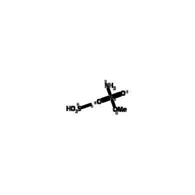 COS(N)(=O)=O.CS(=O)(=O)O